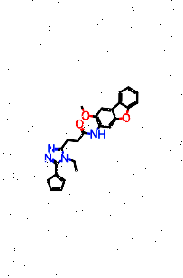 CCn1c(CCC(=O)Nc2cc3oc4ccccc4c3cc2OC)nnc1C1=CC=CC1